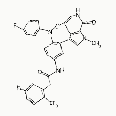 Cn1cc2c3c(c[nH]c(=O)c31)CN(c1ccc(F)cc1)c1ccc(NC(=O)Cc3cc(F)ccc3C(F)(F)F)cc1-2